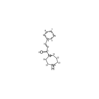 O=C(/C=C/c1ccccc1)N1CCCNCC1